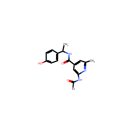 CCC(=O)Nc1cc(C(=O)NC(C)c2ccc(O)cc2)cc(C)n1